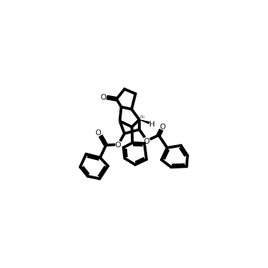 O=C(OC1C2C3C(=O)CCC3[C@H](C1OC(=O)c1ccccc1)C2c1ccccc1)c1ccccc1